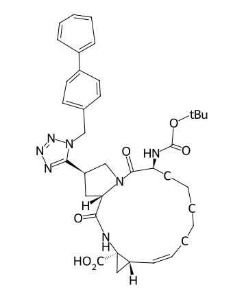 CC(C)(C)OC(=O)N[C@H]1CCCCC/C=C\[C@@H]2C[C@@]2(C(=O)O)NC(=O)[C@@H]2C[C@@H](c3nnnn3Cc3ccc(-c4ccccc4)cc3)CN2C1=O